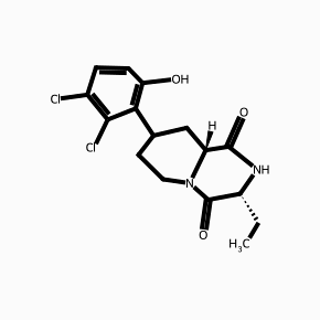 CC[C@H]1NC(=O)[C@H]2CC(c3c(O)ccc(Cl)c3Cl)CCN2C1=O